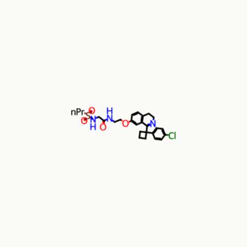 CCCS(=O)(=O)NCC(=O)NCCOc1ccc2c(c1)C(C1(c3ccc(Cl)cc3)CCC1)=NCC2